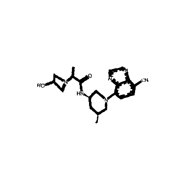 CC(C(=O)N[C@@H]1C[C@H](C)CN(c2ccc(C#N)c3nccnc23)C1)N1CC(O)C1